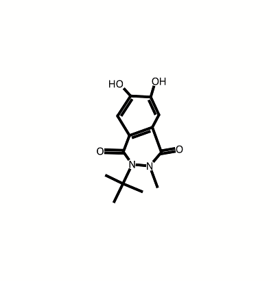 Cn1c(=O)c2cc(O)c(O)cc2c(=O)n1C(C)(C)C